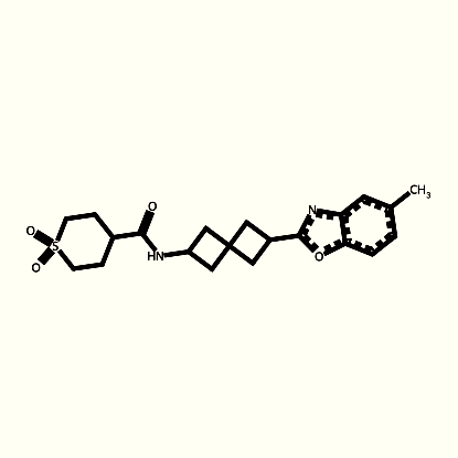 Cc1ccc2oc(C3CC4(CC(NC(=O)C5CCS(=O)(=O)CC5)C4)C3)nc2c1